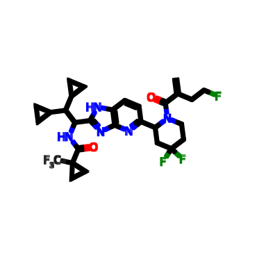 C=C(CCF)C(=O)N1CCC(F)(F)CC1c1ccc2[nH]c(C(NC(=O)C3(C(F)(F)F)CC3)C(C3CC3)C3CC3)nc2n1